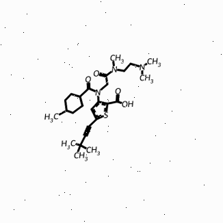 CC1CCC(C(=O)N(CC(=O)N(C)CCN(C)C)c2cc(C#CC(C)(C)C)sc2C(=O)O)CC1